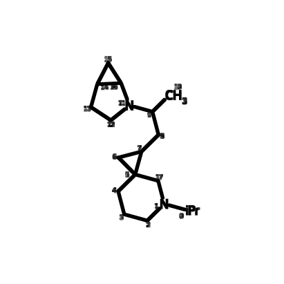 CC(C)N1CCCC2(CC2CC(C)N2CCC3CC32)C1